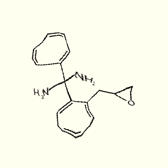 NC(N)(c1ccccc1)c1ccccc1CC1CO1